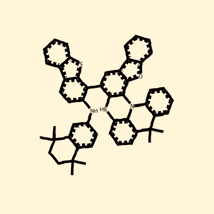 CC1(C)CCC(C)(C)c2cc(Nc3ccc4c(sc5ccccc54)c3-c3cc4c(oc5ccccc54)c4c3Bc3cccc5c3N4c3ccccc3C5(C)C)ccc21